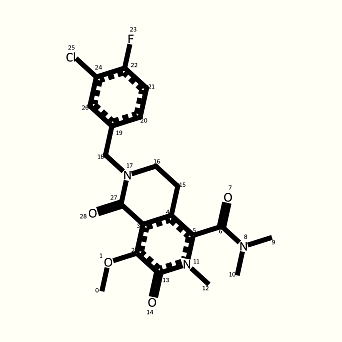 COc1c2c(c(C(=O)N(C)C)n(C)c1=O)CCN(Cc1ccc(F)c(Cl)c1)C2=O